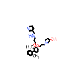 Cc1ccccc1C1=CC=CC(OCCCNCc2cccnc2)(OCCCN2CC[C@@H](O)C2)C1C